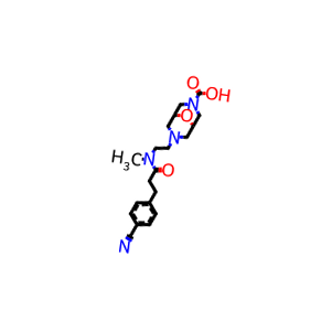 CN(CCN1CC2CN(C(=O)O)CC(C1)O2)C(=O)CCc1ccc(C#N)cc1